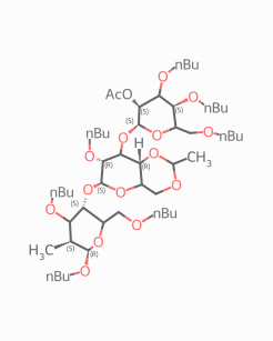 CCCCOCC1O[C@@H](OCCCC)[C@@H](C)C(OCCCC)[C@@H]1O[C@@H]1OC2COC(C)O[C@H]2C(O[C@@H]2OC(COCCCC)[C@H](OCCCC)C(OCCCC)[C@@H]2OC(C)=O)[C@H]1OCCCC